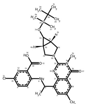 Cc1cc(C(C)Nc2ccc(Cl)nc2C(=O)O)c2nc(N3C[C@@H]4C(O[Si](C)(C)C(C)(C)C)[C@@H]4C3)n(C)c(=O)c2c1